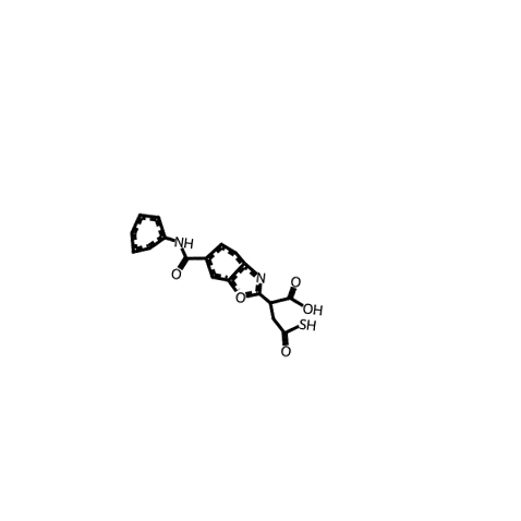 O=C(S)CC(C(=O)O)c1nc2ccc(C(=O)Nc3ccccc3)cc2o1